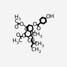 C=C/C(C)=C/C[C@]1(C)[C@H](C)CC[C@@]23C(=C[C@H](OC(=O)c4ccc(O)cc4)C[C@@H]12)[C@@H](OC(C)=O)O[C@H]3OC(C)=O